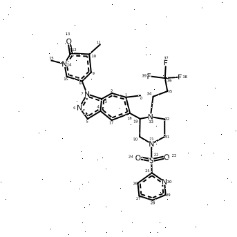 Cc1cc2c(cnn2-c2cc(C)c(=O)n(C)c2)cc1C1CN(S(=O)(=O)c2ccccn2)CCN1CCC(F)(F)F